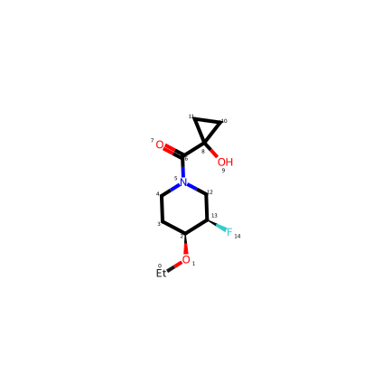 CCO[C@H]1CCN(C(=O)C2(O)CC2)C[C@H]1F